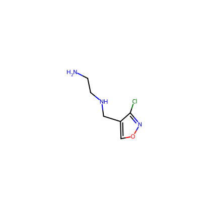 NCCNCc1conc1Cl